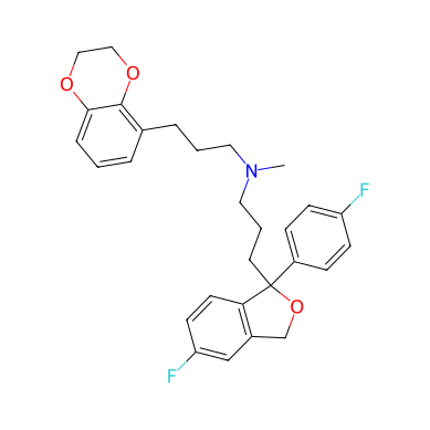 CN(CCCc1cccc2c1OCCO2)CCCC1(c2ccc(F)cc2)OCc2cc(F)ccc21